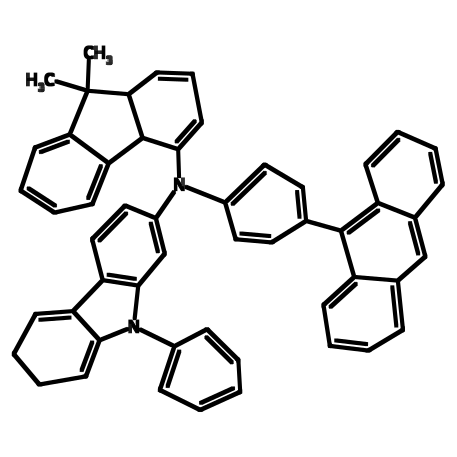 CC1(C)c2ccccc2C2C(N(c3ccc(-c4c5ccccc5cc5ccccc45)cc3)c3ccc4c5c(n(-c6ccccc6)c4c3)=CCCC=5)=CC=CC21